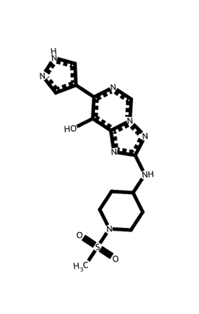 CS(=O)(=O)N1CCC(Nc2nc3c(O)c(-c4cn[nH]c4)ncn3n2)CC1